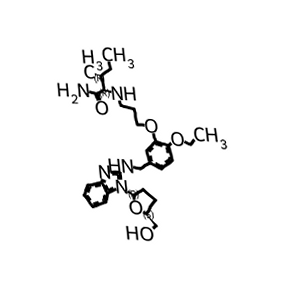 CCOc1ccc(CNc2nc3ccccc3n2[C@H]2CC[C@@H](CO)O2)cc1OCCCN[C@@H](C(N)=O)[C@H](C)CC